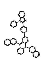 c1ccc2cc(C3=c4ccc(-c5ccc(-c6nc7ccccc7n6-c6ccccc6)cc5)cc4=C(c4ccc5ccccc5c4)C4=CC=CCC43)ccc2c#1